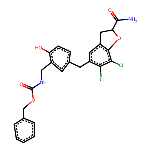 NC(=O)C1Cc2cc(Cc3ccc(O)c(CNC(=O)OCc4ccccc4)c3)c(Cl)c(Cl)c2O1